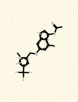 CC(=O)Oc1csc2cc(OCc3cc(C(F)(F)F)nn3C)cc(C)c12